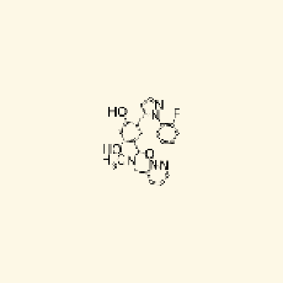 CN(Cc1cccnn1)C(=O)c1cc(-c2ccnn2-c2ccccc2F)c(O)cc1O